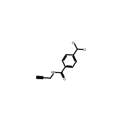 C#CCNC(=O)c1ccc(C(Cl)Cl)cc1